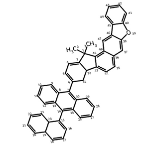 CC1(C)C2=CC=C(c3c4ccccc4c(C4=CC=CC5C=CC=CC45)c4ccccc34)CC2c2ccc3cc4oc5ccccc5c4cc3c21